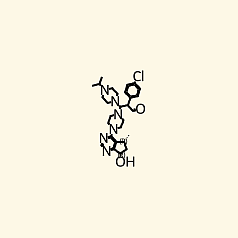 CC(C)N1CCN(C(C(C=O)c2ccc(Cl)cc2)N2CCN(c3ncnc4c3[C@H](C)C[C@H]4O)CC2)CC1